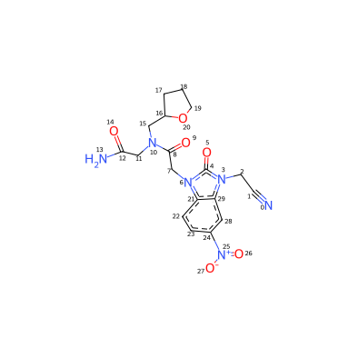 N#CCn1c(=O)n(CC(=O)N(CC(N)=O)CC2CCCO2)c2ccc([N+](=O)[O-])cc21